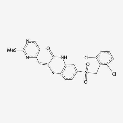 CSc1nccc(/C=C2/Sc3ccc(S(=O)(=O)Cc4c(Cl)cccc4Cl)cc3NC2=O)n1